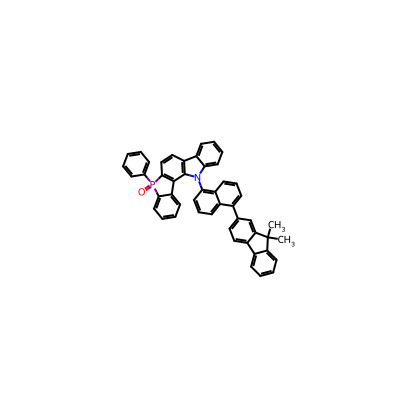 CC1(C)c2ccccc2-c2ccc(-c3cccc4c(-n5c6ccccc6c6ccc7c(c65)-c5ccccc5P7(=O)c5ccccc5)cccc34)cc21